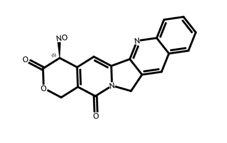 O=N[C@@H]1C(=O)OCc2c1cc1n(c2=O)Cc2cc3ccccc3nc2-1